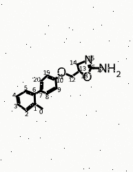 Cc1ccccc1-c1ccc(OCC2CN=C(N)O2)cc1